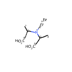 CCN(C(C)C(=O)O)C(C)C(=O)O.[Fe]